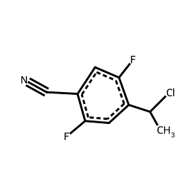 CC(Cl)c1cc(F)c(C#N)cc1F